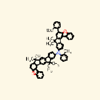 Cc1ccccc1N(c1ccc2c(c1)C(C)(C)c1cc3c(cc1-2)C(C)(C)c1ccc2oc4ccccc4c2c1-3)c1ccc2c(c1)C(C)(C)c1cc(-c3ccccc3C(C)(C)C)c3oc4ccccc4c3c1-2